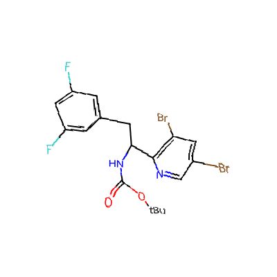 CC(C)(C)OC(=O)NC(Cc1cc(F)cc(F)c1)c1ncc(Br)cc1Br